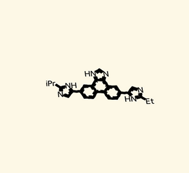 CCc1ncc(-c2ccc3c4ccc(-c5cnc(C(C)C)[nH]5)cc4c4[nH]cnc4c3c2)[nH]1